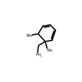 CC(C)(C)C1C=CC=CC1(CP)C(C)(C)C